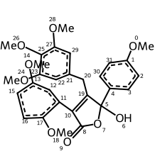 COc1ccc(C2(O)OC(=O)C(c3cc(OC)ccc3OC)=C2Cc2cc(OC)c(OC)c(OC)c2)cc1